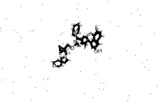 Oc1cc(-c2c(F)cc3c(N4CC5CCC(C4)N5)nc(OCC4(CN5CCC6(CCOCC6)C5)CC4)nc3c2F)c2c(F)c(F)ccc2c1